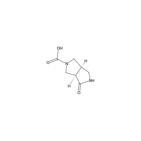 O=C1NC[C@@H]2CN(C(=O)O)C[C@H]12